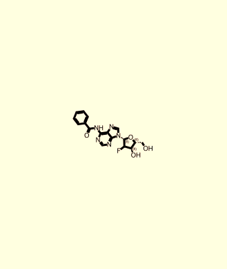 O=C(Nc1ncnc2c1ncn2[C@@H]1O[C@H](CO)[C@@H](O)C1F)c1ccccc1